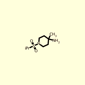 CC(C)S(=O)(=O)N1CCC(C)(N)CC1